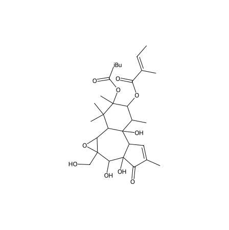 C/C=C(\C)C(=O)OC1C(C)C2(O)C3C=C(C)C(=O)C3(O)C(O)C3(CO)OC3C2C(C)(C)C1(C)OC(=O)C(C)CC